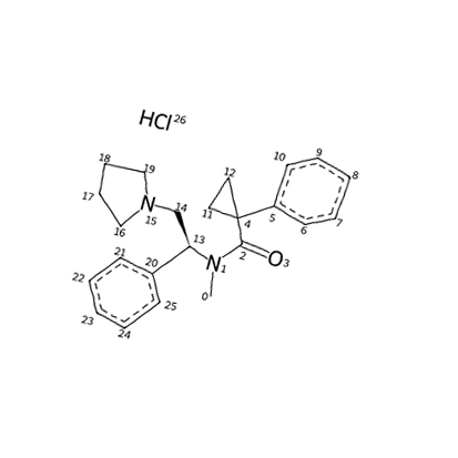 CN(C(=O)C1(c2ccccc2)CC1)[C@H](CN1CCCC1)c1ccccc1.Cl